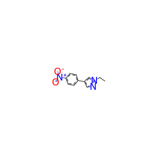 CCn1cc(-c2ccc([N+](=O)[O-])cc2)cn1